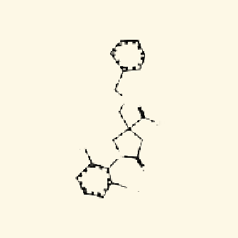 Cc1cccc(C)c1N1CC(COCc2ccccc2)(C(=O)O)CC1=O